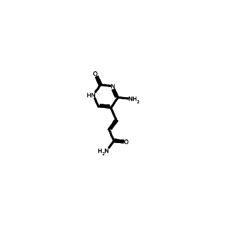 NC(=O)/C=C/c1c[nH]c(=O)nc1N